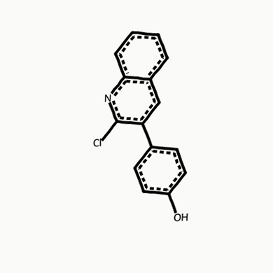 Oc1ccc(-c2cc3ccccc3nc2Cl)cc1